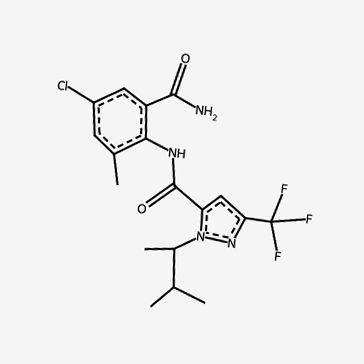 Cc1cc(Cl)cc(C(N)=O)c1NC(=O)c1cc(C(F)(F)F)nn1C(C)C(C)C